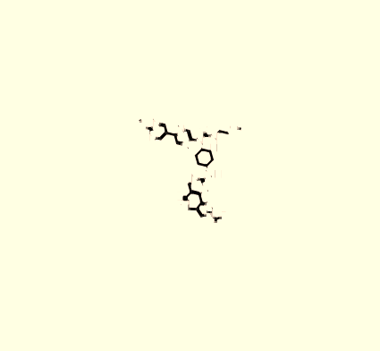 COCCNC(=O)N(c1cnc(-c2cnc(OC)nc2)cn1)[C@H]1CC[C@H](Nc2ncc(C(F)(F)F)c(-c3nn(C(F)F)cc3Cl)n2)CC1